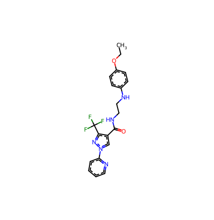 CCOc1ccc(NCCNC(=O)c2cn(-c3ccccn3)nc2C(F)(F)F)cc1